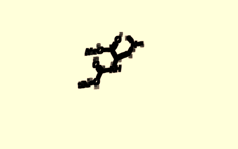 COC(=O)/C(=C\N(C)C)NC(=O)OC(C)(C)C